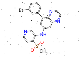 CCc1cccc(-c2cc(Nc3cnccc3S(C)(=O)=O)cc3nccnc23)c1